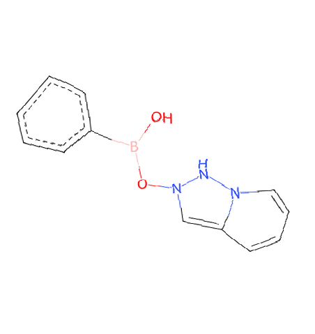 OB(ON1C=C2C=CC=CN2N1)c1ccccc1